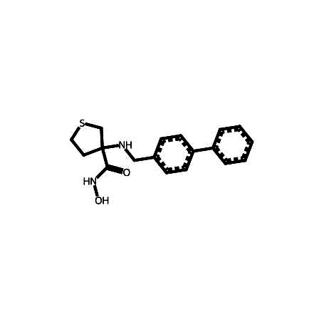 O=C(NO)C1(NCc2ccc(-c3ccccc3)cc2)CCSC1